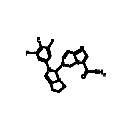 NC(=O)c1cnc2n1CN(C1N3CCCC3=CN1c1cc(F)c(F)c(F)c1)C=C2